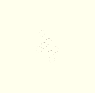 c1ccc(Sc2c3ccccc3c(-c3cc4ccccc4c4ccccc34)c3cnccc23)cc1